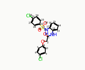 O=C(COc1ccc(Cl)cc1)Nc1ccccc1NS(=O)(=O)c1ccc(Cl)cc1